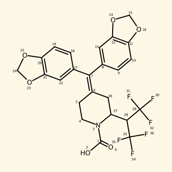 O=C(O)N1CCC(=C(c2ccc3c(c2)OCO3)c2ccc3c(c2)OCO3)CC1C(C(F)(F)F)C(F)(F)F